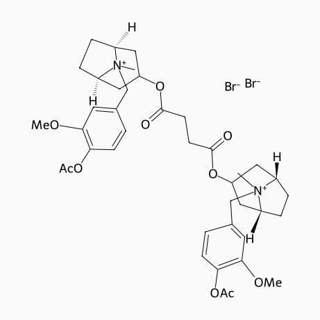 COc1cc(C[N+]2(C)[C@@H]3CC[C@H]2CC(OC(=O)CCC(=O)OC2C[C@H]4CC[C@@H](C2)[N+]4(C)Cc2ccc(OC(C)=O)c(OC)c2)C3)ccc1OC(C)=O.[Br-].[Br-]